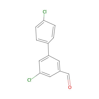 O=Cc1cc(Cl)cc(-c2ccc(Cl)cc2)c1